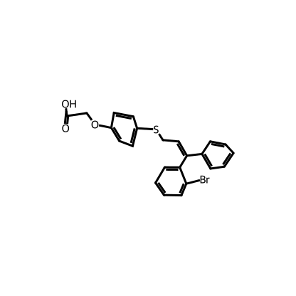 O=C(O)COc1ccc(SC/C=C(/c2ccccc2)c2ccccc2Br)cc1